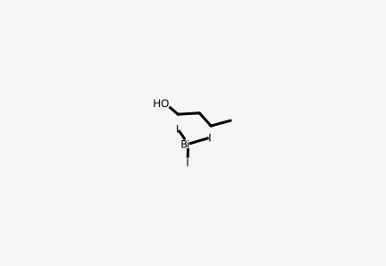 CCCCO.[I][Bi]([I])[I]